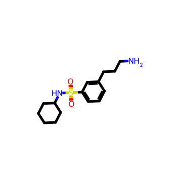 NCCCc1cccc(S(=O)(=O)NC2CCCCC2)c1